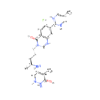 CCC(CCCn1cnc2cc(-c3ncc(C(F)(F)F)cn3)c(F)cc2c1=O)Nc1cn[nH]c(=O)c1C(F)(F)F